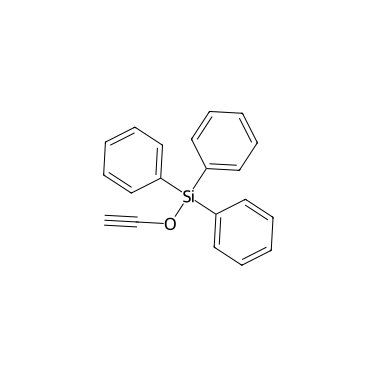 C#CO[Si](c1ccccc1)(c1ccccc1)c1ccccc1